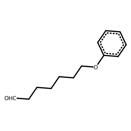 O=CCCCCCCOc1ccccc1